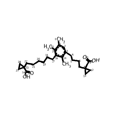 Cc1cc(CCCCC2(C(=O)O)CC2)c(C)c(CCCCCCC2(C(=O)O)CC2)c1C